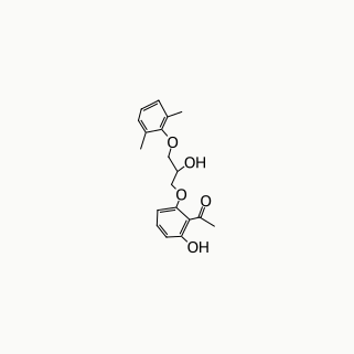 CC(=O)c1c(O)cccc1OCC(O)COc1c(C)cccc1C